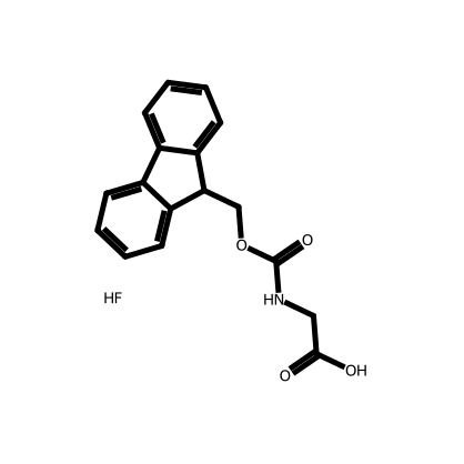 F.O=C(O)CNC(=O)OCC1c2ccccc2-c2ccccc21